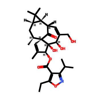 CCc1onc(C(C)C)c1C(=O)O[C@H]1C(C)=C[C@]23C(=O)[C@@H](C=C(CO)[C@@H](O)[C@]12O)[C@H]1[C@@H](C[C@H]3C)C1(C)C